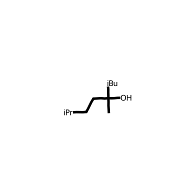 CCC(C)C(C)(O)CCC(C)C